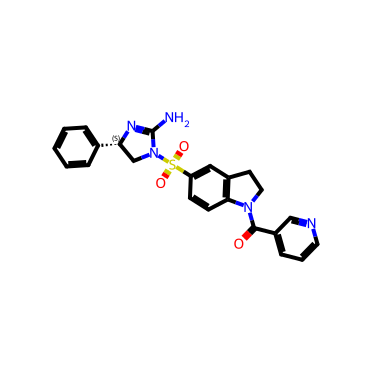 NC1=N[C@@H](c2ccccc2)CN1S(=O)(=O)c1ccc2c(c1)CCN2C(=O)c1cccnc1